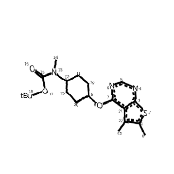 Cc1sc2ncnc(OC3CCC(N(C)C(=O)OC(C)(C)C)CC3)c2c1C